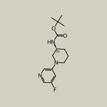 CC(C)(C)OC(=O)N[C@H]1CCCN(c2cncc(F)c2)C1